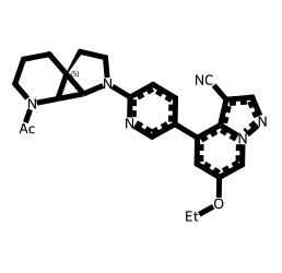 CCOc1cc(-c2ccc(N3CC[C@]45CCCN(C(C)=O)C4C35)nc2)c2c(C#N)cnn2c1